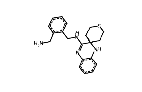 NCc1ccccc1CNC1=Nc2ccccc2NC12CCSCC2